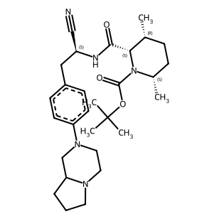 C[C@@H]1CC[C@H](C)N(C(=O)OC(C)(C)C)[C@@H]1C(=O)N[C@H](C#N)Cc1ccc(N2CCN3CCCC3C2)cc1